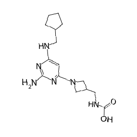 Nc1nc(NCC2CCCC2)cc(N2CC(CNC(=O)O)C2)n1